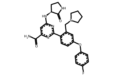 NC(=O)c1cc(N[C@H]2CCNC2=O)nc(-c2ccc(Oc3ccc(F)cc3)cc2CN2CCCC2)n1